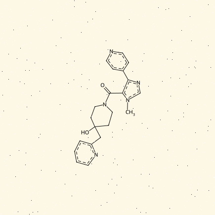 Cn1cnc(-c2ccncc2)c1C(=O)N1CCC(O)(Cc2ccccn2)CC1